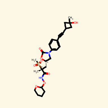 CC1(O)CC(C#Cc2ccc(N3C[C@H](C[C@](C)(C(=O)NOC4CCCCO4)S(C)(=O)=O)OC3=O)cc2)C1